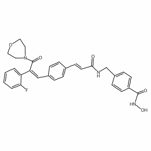 O=C(C=Cc1ccc(C=C(C(=O)N2CCOCC2)c2ccccc2F)cc1)NCc1ccc(C(=O)NO)cc1